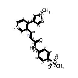 Cn1cc(-c2ccncc2/C=C/C(=O)Nc2ccc(S(C)(=O)=O)cc2)cn1